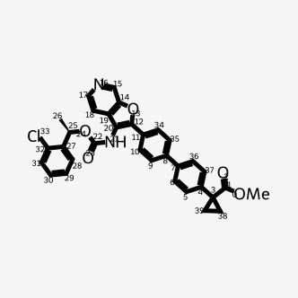 COC(=O)C1(c2ccc(-c3ccc(-c4oc5cnccc5c4NC(=O)O[C@H](C)c4ccccc4Cl)cc3)cc2)CC1